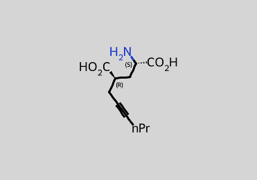 CCCC#CC[C@H](C[C@H](N)C(=O)O)C(=O)O